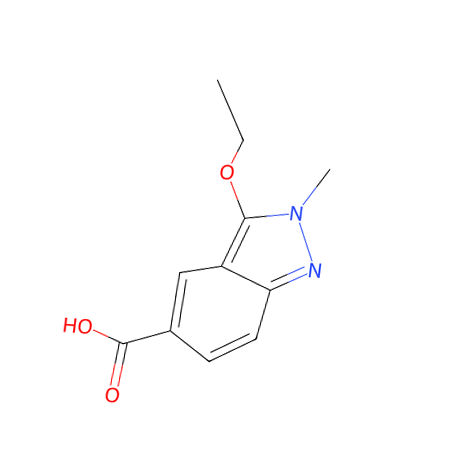 CCOc1c2cc(C(=O)O)ccc2nn1C